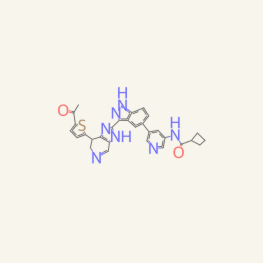 CC(=O)c1ccc(C2CN=Cc3[nH]c(-c4n[nH]c5ccc(-c6cncc(NC(=O)C7CCC7)c6)cc45)nc32)s1